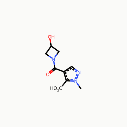 Cn1ncc(C(=O)N2CC(O)C2)c1C(=O)O